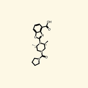 C[C@H]1CN(C(=O)N2CCCC2)C[C@H](C)N1c1nc2c(C(=O)O)cccc2o1